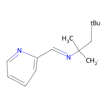 [CH2]C(C)(CC(C)(C)C)/N=C/c1ccccn1